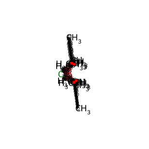 CCCCCCCCCCCCCCCCCCC(CC(CC)CC(COC(=O)c1ccccc1OP(Cl)Oc1ccccc1C(=O)OCC(CC(CC)CC(CCCCCCCCCCCCCCCCCC)C(C)(C)C)C(C)(C)C)C(C)(C)C)C(C)(C)C